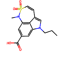 CCCn1cc2c3c(cc(C(=O)O)cc31)N(C)S(=O)(=O)C=C2